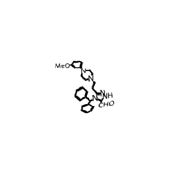 COc1cccc(N2CCN(CCC3=NNC(C=O)N3C(c3ccccc3)c3ccccc3)CC2)c1